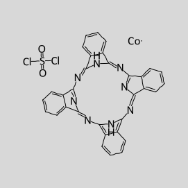 O=S(=O)(Cl)Cl.[Co].c1ccc2c(c1)-c1nc-2nc2[nH]c(nc3nc(nc4[nH]c(n1)c1ccccc41)-c1ccccc1-3)c1ccccc21